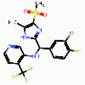 Cc1[nH]c(C(Nc2cnccc2C(F)(F)F)c2ccc(F)c(Cl)c2)nc1S(C)(=O)=O